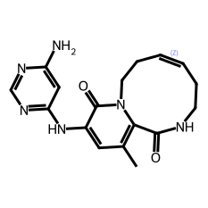 Cc1cc(Nc2cc(N)ncn2)c(=O)n2c1C(=O)NCC/C=C\CC2